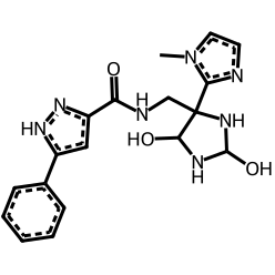 Cn1ccnc1C1(CNC(=O)c2cc(-c3ccccc3)[nH]n2)NC(O)NC1O